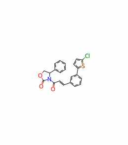 O=C(C=Cc1cccc(-c2ccc(Cl)s2)c1)N1C(=O)OCC1c1ccccc1